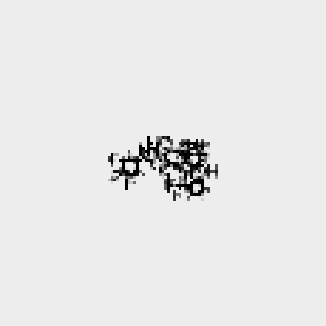 CO[C@@H]1[C@@H](n2cc(-c3cc(F)c(F)c(F)c3)nn2)[C@@H](O)[C@@H](CO)O[C@H]1S[C@H](c1ccccc1C(F)(F)F)C1(O)CCOC(C)(C)C1